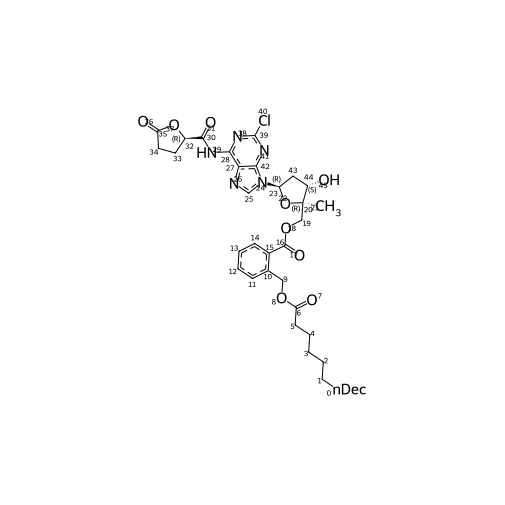 CCCCCCCCCCCCCCCC(=O)OCc1ccccc1C(=O)OC[C@@]1(C)O[C@@H](n2cnc3c(NC(=O)[C@H]4CCC(=O)O4)nc(Cl)nc32)C[C@@H]1O